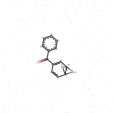 CC12C=CC(C(=O)c3ccccc3)=CC1S2